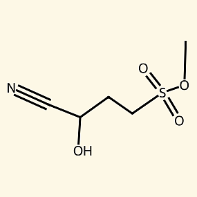 COS(=O)(=O)CCC(O)C#N